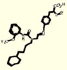 CCOC(Cc1ccc(OCCN(CCCCC2CCCCC2)C(=O)Nc2ccccc2OC(F)(F)F)cc1)C(=O)O